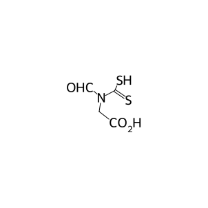 O=CN(CC(=O)O)C(=S)S